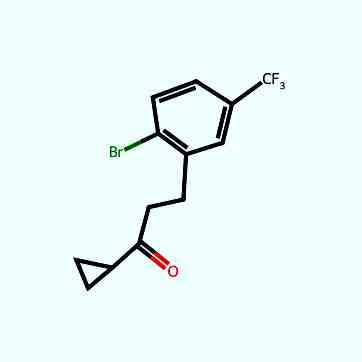 O=C(CCc1cc(C(F)(F)F)ccc1Br)C1CC1